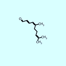 CC(C)=CCCC(C)=C/C=C/C=O